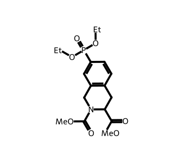 CCOP(=O)(OCC)c1ccc2c(c1)CN(C(=O)OC)C(C(=O)OC)C2